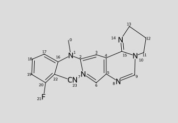 CN(c1cc2c(cn1)N=CN1CCCN=C21)c1cccc(F)c1C#N